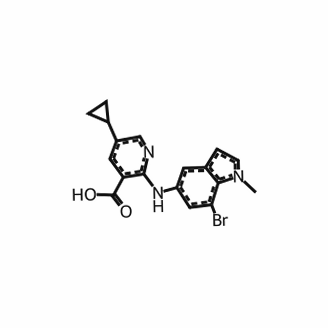 Cn1ccc2cc(Nc3ncc(C4CC4)cc3C(=O)O)cc(Br)c21